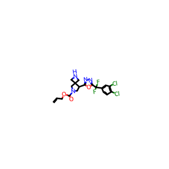 C=CCOC(=O)N1CC(c2nnc(C(F)(F)c3ccc(Cl)c(Cl)c3)o2)C2(CNC2)C1